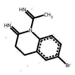 CC(=N)N1C(=N)CCc2cc(Br)ccc21